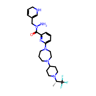 C[C@H](N1CCC(N2CCCN(c3cccc(C(=O)N(N)CC4=CNCC=C4)n3)CC2)CC1)C(F)(F)F